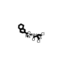 O=C(Nc1nnc(-c2ccc3c(c2)CCCC3)o1)c1cc(Cl)sc1Cl